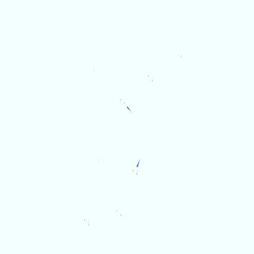 Cn1cnc(C(=O)N[C@@H]2CCC[C@H](Nc3nc(Br)c(F)cc3F)C2)c1